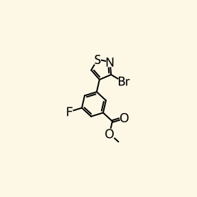 COC(=O)c1cc(F)cc(-c2csnc2Br)c1